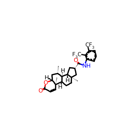 C[C@H]1C[C@H]2OC(=O)C=C[C@]2(C)[C@H]2CC[C@]3(C)C[C@@H](C(=O)Nc4cccc(C(F)(F)F)c4C(F)(F)F)C[C@H]3[C@H]12